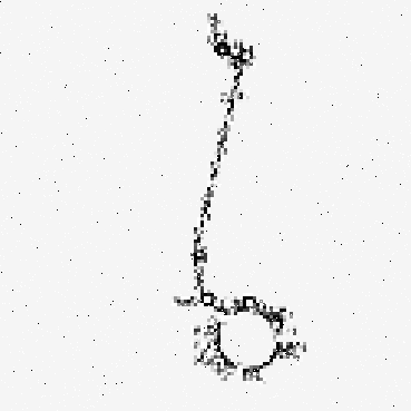 CO[C@H]1C[C@]2(O)CC[C@@H](C)[C@@](O)(O2)C(=O)C(=O)N2CCCC[C@H]2C(=O)O[C@H]([C@H](C)C[C@@H]2CC[C@@H](OCCOCc3cn(CCOCCOCCOCCOCCOCCOCCOCCOCCC(=O)NCCCCn4nc(-c5ccc6oc(N)nc6c5)c5c(N)ncnc54)nn3)[C@H](OC)C2)CC(=O)[C@H](C)/C=C(\C)[C@@H](O)[C@@H](OC)C(=O)[C@H](C)C[C@H](C)/C=C/C=C/C=C/1C